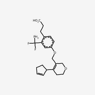 O=C(O)CCc1ccc(OCC2=C(C3C=CCC3)CCOC2)cc1C(F)(F)P